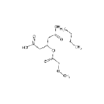 CCCC.COCC(=O)OC(CC(=O)O)CC(=O)O